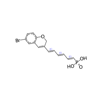 O=P(O)(O)/C=C/C=C/C=C/C1=Cc2cc(Br)ccc2OC1